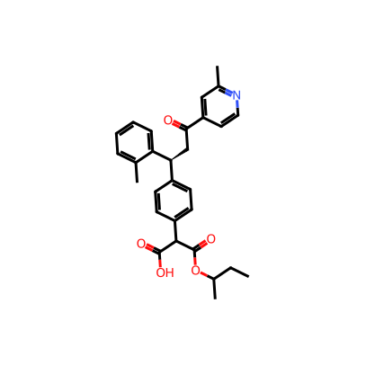 CCC(C)OC(=O)C(C(=O)O)c1ccc([C@H](CC(=O)c2ccnc(C)c2)c2ccccc2C)cc1